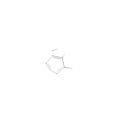 CCOC(C)=O.Clc1ccccc1Cl